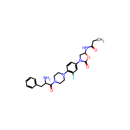 CCC(=O)NC1CN(c2ccc(N3CCN(C(=O)C(N)Cc4ccccc4)CC3)c(F)c2)C(=O)O1